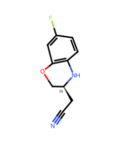 N#CC[C@H]1COc2cc(F)ccc2N1